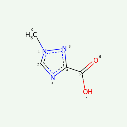 Cn1[c]nc(C(=O)O)n1